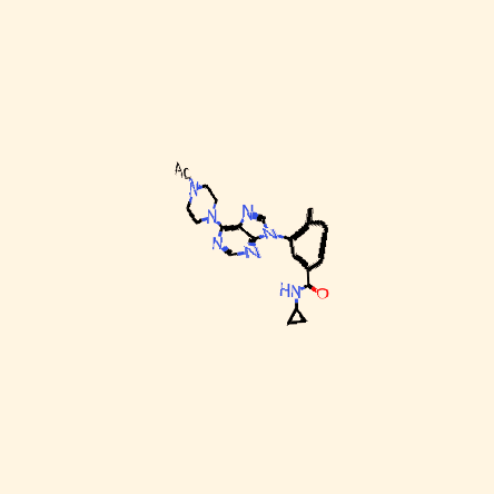 CC(=O)N1CCN(c2ncnc3c2ncn3-c2cc(C(=O)NC3CC3)ccc2C)CC1